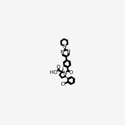 O=C(c1ccc(-c2cnc(N3CCCCC3)nc2)cc1)N1[C@@H](c2ccccc2Cl)CC[C@]1(I)C(=O)O